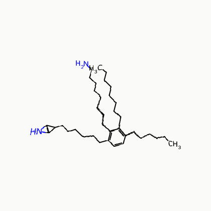 CCCCCCCCc1c(CCCCCC)ccc(CCCCCCC2C3NC23)c1CCCCCCCCN